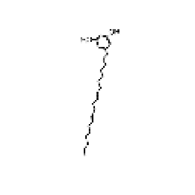 CCCCCCC=CCCCCCCCCCCCc1cc(O)cc(O)c1